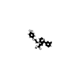 COC(=O)c1cc2c(-c3cccc(C)c3)nccc2n1CCOc1ccc(O)cc1